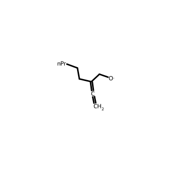 C=C=C(C[O])CCCCC